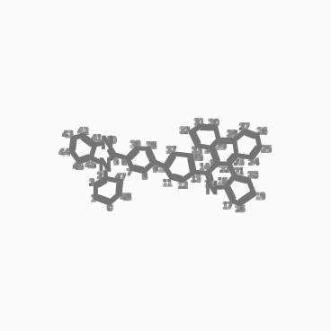 c1ccc(-n2c(-c3ccc(-c4ccc(-c5nc6ccccc6c6c7ccccc7c7ccccc7c56)cc4)cc3)nc3ccccc32)cc1